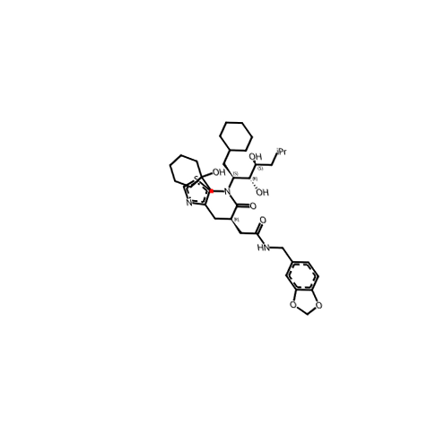 CC(C)C[C@H](O)[C@H](O)[C@H](CC1CCCCC1)N(CC1(O)CCCCC1)C(=O)[C@@H](CC(=O)NCc1ccc2c(c1)OCO2)Cc1cscn1